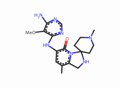 COc1c(N)ncnc1Nc1cc(C)c2n(c1=O)C1(CCN(C)CC1)NC2